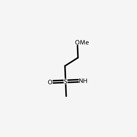 COCCS(C)(=N)=O